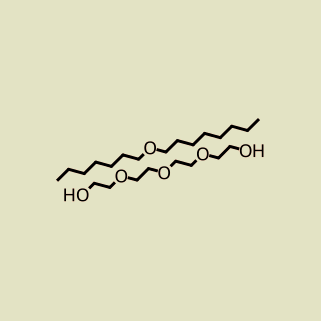 CCCCCCCCOCCCCCCC.OCCOCCOCCOCCO